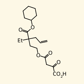 C=CCC(CC)(CCOC(=O)CC(=O)C(=O)O)C(=O)OC1CCCCC1